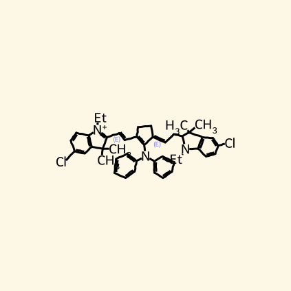 CCN1c2ccc(Cl)cc2C(C)(C)C1C/C=C1\CCC(/C=C/C2=[N+](CC)c3ccc(Cl)cc3C2(C)C)=C1N(c1ccccc1)c1ccccc1